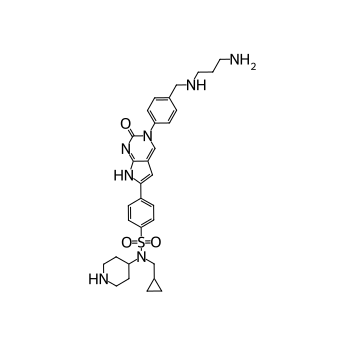 NCCCNCc1ccc(-n2cc3cc(-c4ccc(S(=O)(=O)N(CC5CC5)C5CCNCC5)cc4)[nH]c3nc2=O)cc1